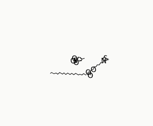 CCCCCCCCCCCCCCCCCCC[C@H]1OC[C@H](COCCCCCC[n+]2ccsc2)O1.Cc1ccc(S(=O)(=O)[O-])cc1